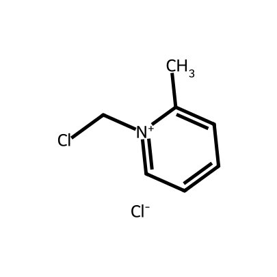 Cc1cccc[n+]1CCl.[Cl-]